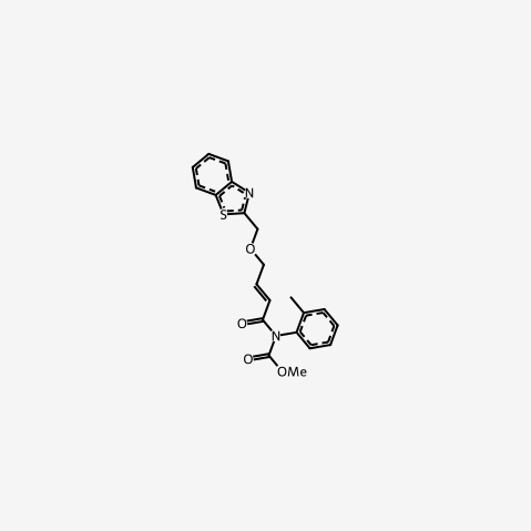 COC(=O)N(C(=O)C=CCOCc1nc2ccccc2s1)c1ccccc1C